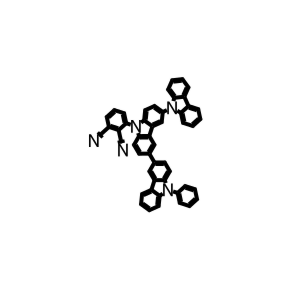 N#Cc1cccc(-n2c3ccc(-c4ccc5c(c4)c4ccccc4n5-c4ccccc4)cc3c3cc(-n4c5ccccc5c5ccccc54)ccc32)c1C#N